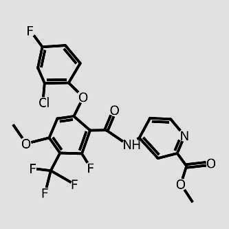 COC(=O)c1cc(NC(=O)c2c(Oc3ccc(F)cc3Cl)cc(OC)c(C(F)(F)F)c2F)ccn1